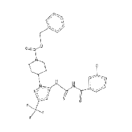 O=C(NC(=S)Nc1cc(C(F)(F)F)nn1C1CCN(C(=O)OCc2ccccc2)CC1)c1cccc(Cl)c1